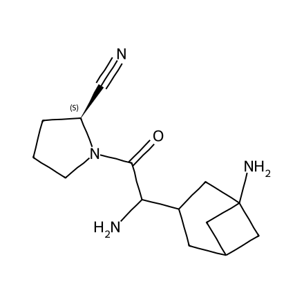 N#C[C@@H]1CCCN1C(=O)C(N)C1CC2CC(N)(C2)C1